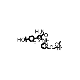 Cc1nnc(COCc2cccc(Nc3sc(-c4ccc(C(C)(C)O)cc4F)cc3C(N)=O)n2)o1